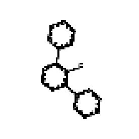 Fc1c(-c2ccccc2)c[c]cc1-c1ccccc1